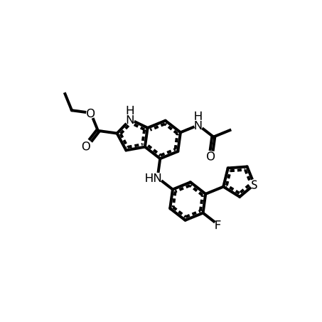 CCOC(=O)c1cc2c(Nc3ccc(F)c(-c4ccsc4)c3)cc(NC(C)=O)cc2[nH]1